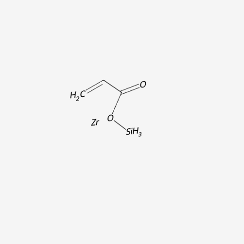 C=CC(=O)O[SiH3].[Zr]